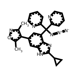 Cc1noc(C)c1-c1cc(C(N=[N+]=[N-])(c2ccccn2)c2ccccn2)c2nc(C3CC3)[nH]c2c1